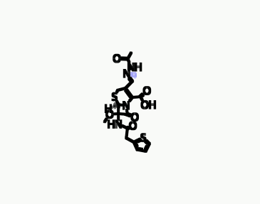 COC1(NC(=O)Cc2cccs2)C(=O)N2C(C(=O)O)=C(/C=N/NC(C)=O)CS[C@@H]21